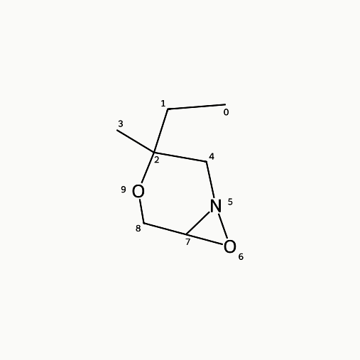 CCC1(C)CN2OC2CO1